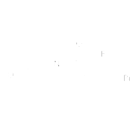 O=C1CCN(C(=O)c2cccc(Br)c2F)CC1